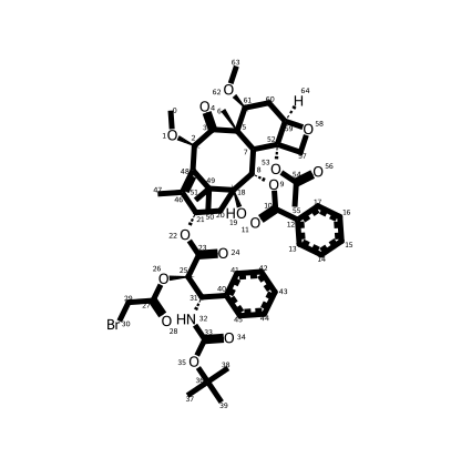 CO[C@H]1C(=O)[C@@]2(C)C([C@H](OC(=O)c3ccccc3)[C@]3(O)C[C@H](OC(=O)[C@H](OC(=O)CBr)[C@@H](NC(=O)OC(C)(C)C)c4ccccc4)C(C)=C1C3(C)C)[C@]1(OC(C)=O)CO[C@@H]1C[C@@H]2OC